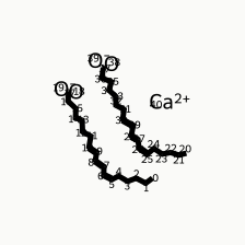 CCCCC\C=C/C=C/C=C/CCCCCCC(=O)[O-].CCCCC\C=C/C=C/C=C/CCCCCCC(=O)[O-].[Ca+2]